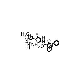 Cn1cc(-c2ccc(NC(=O)c3c4n(n(-c5ccccc5)c3=O)CCC4)cc2F)c2c1N=CNC2N